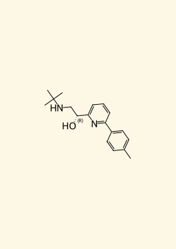 Cc1ccc(-c2cccc([C@H](O)CNC(C)(C)C)n2)cc1